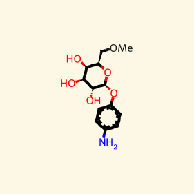 COC[C@H]1O[C@@H](Oc2ccc(N)cc2)[C@H](O)[C@@H](O)[C@H]1O